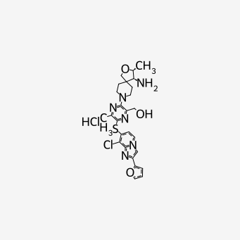 Cc1nc(N2CCC3(CC2)CO[C@@H](C)[C@H]3N)c(CO)nc1Sc1ccn2cc(-c3ccco3)nc2c1Cl.Cl